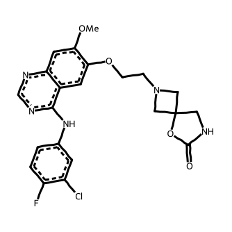 COc1cc2ncnc(Nc3ccc(F)c(Cl)c3)c2cc1OCCN1CC2(CNC(=O)O2)C1